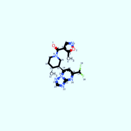 Cc1oncc1C(=O)N1CC[C@@H](C)[C@H](c2cc(C(F)F)nc3ncnn23)C1